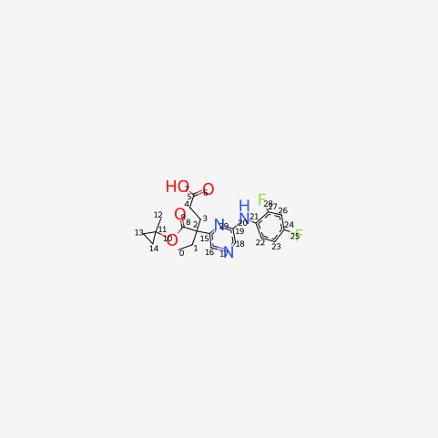 CCC(CCC(=O)O)(C(=O)OC1(C)CC1)c1cncc(Nc2ccc(F)cc2F)n1